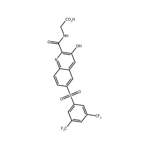 O=C(O)CNC(=O)c1nc2ccc(S(=O)(=O)c3cc(C(F)(F)F)cc(C(F)(F)F)c3)cc2cc1O